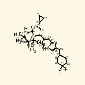 BC1(B)NC(=O)N([C@H](COC2CC2)c2cnn3cc(CC4CCC(F)(F)CC4)nc3c2)C(B)(B)C1(F)F